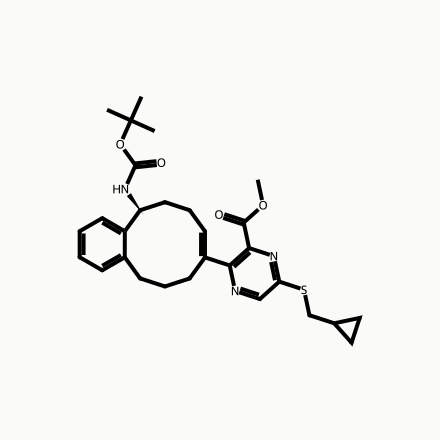 COC(=O)c1nc(SCC2CC2)cnc1/C1=C/CC[C@H](NC(=O)OC(C)(C)C)c2ccccc2CCC1